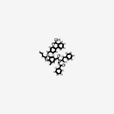 CCCc1nc2c(C)cc(C(=O)N(SC(=O)c3ccccc3)C(C)Cc3ccccc3)cc2n1Cc1ccc(-c2ccccc2C(=O)O)cc1